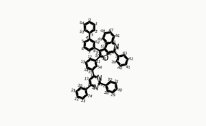 c1ccc(-c2cccc(-c3c(-c4cccc(-c5cc(-c6ccccc6)nc(-c6ccccc6)n5)c4)oc4c(-c5ccccc5)nc5ccccc5c34)c2)cc1